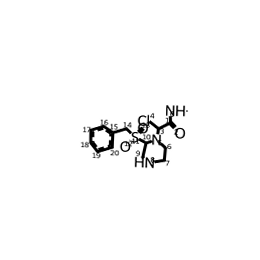 [NH]C(=O)C(Cl)N1CCNCC1S(=O)(=O)Cc1ccccc1